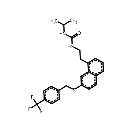 CC(C)NC(=O)NCCc1cccc2ccc(SCc3ccc(C(F)(F)F)cc3)cc12